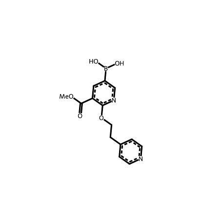 COC(=O)c1cc(B(O)O)cnc1OCCc1ccncc1